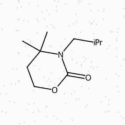 CC(C)CN1C(=O)OCCC1(C)C